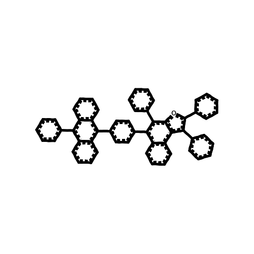 c1ccc(-c2oc3c(-c4ccccc4)c(-c4ccc(-c5c6ccccc6c(-c6ccccc6)c6ccccc56)cc4)c4ccccc4c3c2-c2ccccc2)cc1